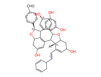 O=Cc1ccc([C@@H]2OC3CC(O)=CC(C4C(C5=CC[C@H](O)C=C5)OC5CC(O)C=C(/C=C/C6C=CC=CC6)[C@@H]54)=C3C2c2cc(O)cc(O)c2)cc1